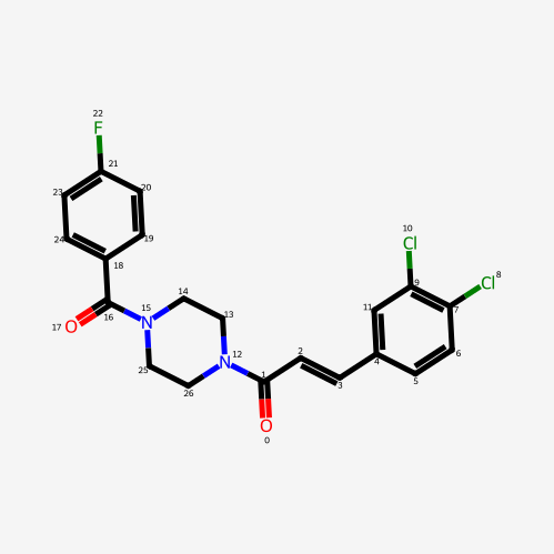 O=C(/C=C/c1ccc(Cl)c(Cl)c1)N1CCN(C(=O)c2ccc(F)cc2)CC1